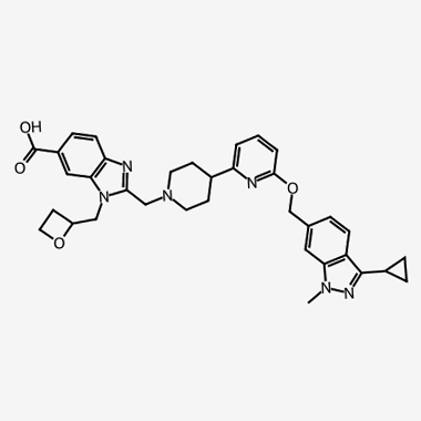 Cn1nc(C2CC2)c2ccc(COc3cccc(C4CCN(Cc5nc6ccc(C(=O)O)cc6n5CC5CCO5)CC4)n3)cc21